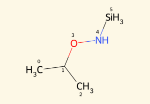 CC(C)ON[SiH3]